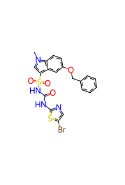 Cn1cc(S(=O)(=O)NC(=O)Nc2ncc(Br)s2)c2cc(OCc3ccccc3)ccc21